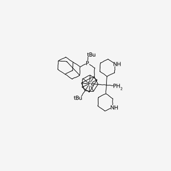 CC(C)(C)P(C[C]12[CH]3[C]4(C(C)(C)C)[CH]5[C]1(C(P)(C1CCCNC1)C1CCCNC1)[Fe]35241678[CH]2[CH]1[CH]6[CH]7[CH]28)C1C2CC3CC(C2)CC1C3